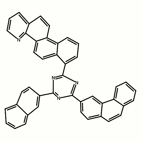 c1ccc2cc(-c3nc(-c4ccc5ccc6ccccc6c5c4)nc(-c4cccc5c4ccc4c5ccc5cccnc54)n3)ccc2c1